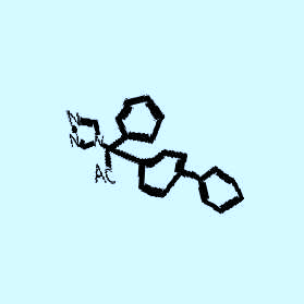 CC(=O)C(c1ccccc1)(c1ccc(-c2ccccc2)cc1)n1cnnc1